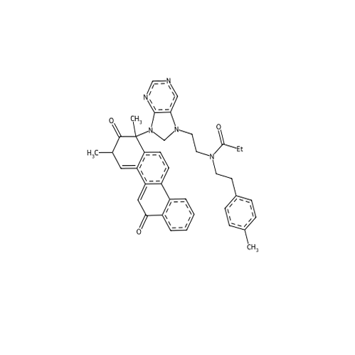 CCC(=O)N(CCc1ccc(C)cc1)CCN1CN(C2(C)C(=O)C(C)C=c3c2ccc2c3=CC(=O)c3ccccc3-2)c2ncncc21